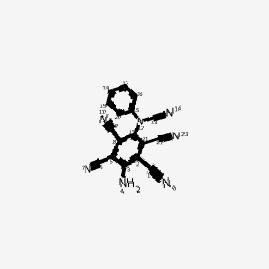 N#Cc1c(N)c(C#N)c(C#N)c(N(C#N)c2ccccc2)c1C#N